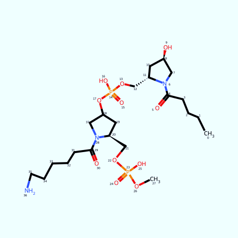 CCCCC(=O)N1C[C@H](O)C[C@H]1COP(=O)(O)OC1C[C@@H](COP(=O)(O)OC)N(C(=O)CCCCCN)C1